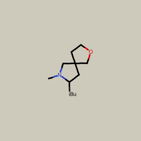 CCC(C)C1CC2(CCOC2)CN1C